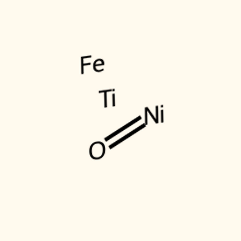 [Fe].[O]=[Ni].[Ti]